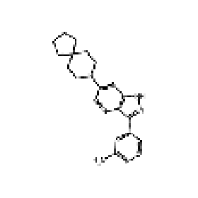 Nc1cc(-c2n[nH]c3nc(N4CCC5(CCCC5)CC4)cnc23)ccn1